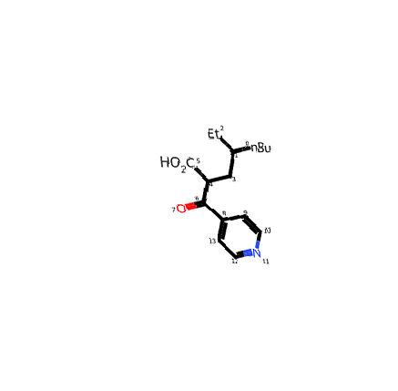 CCCCC(CC)CC(C(=O)O)C(=O)c1ccncc1